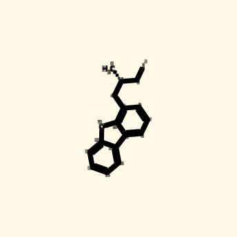 C[C@H](CI)Cc1cccc2c1oc1ccccc12